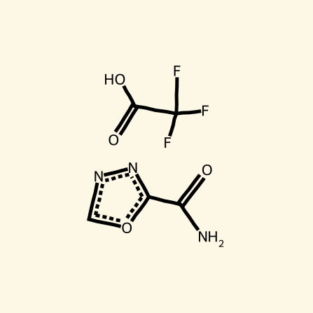 NC(=O)c1nnco1.O=C(O)C(F)(F)F